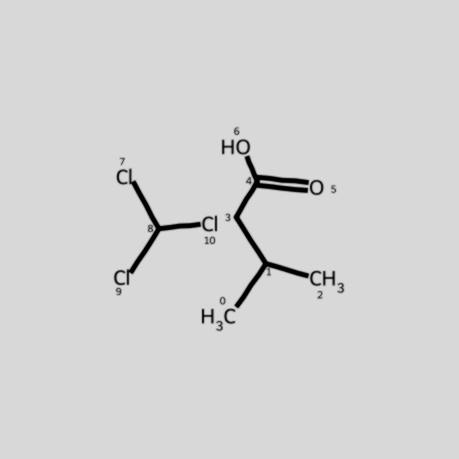 CC(C)CC(=O)O.ClC(Cl)Cl